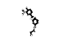 Cc1ccc(-c2nc3cc(OCCCCl)ccc3o2)cc1[N+](=O)[O-]